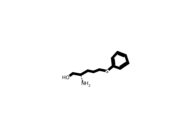 N[C@H](CO)CCCSc1ccccc1